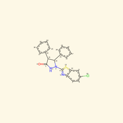 O=C1NN(c2nc3ccc(Cl)cc3s2)C(c2ccccc2)C1c1ccccc1